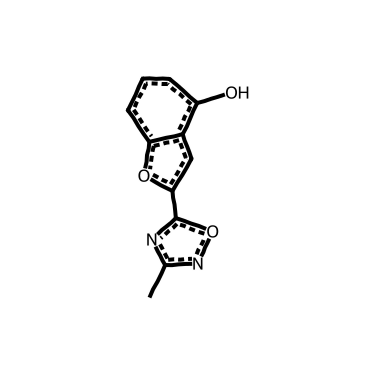 Cc1noc(-c2cc3c(O)cccc3o2)n1